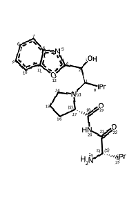 CC(C)C(C(O)c1nc2ccccc2o1)N1CCC[C@H]1C(=O)NC(=O)[C@@H](N)C(C)C